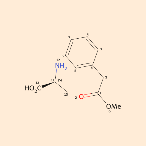 COC(=O)Cc1ccccc1.C[C@H](N)C(=O)O